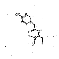 CCC(OC(=O)Cc1ccc(Cl)cc1)C(=O)I